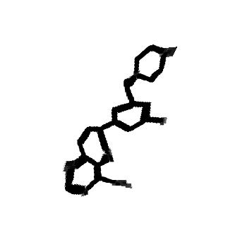 Nc1ncnc2ccc(-c3cc(F)cc(CN4CCNCC4)c3)nc12